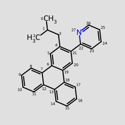 CC(C)Cc1cc2c3ccccc3c3ccccc3c2cc1-c1ccccn1